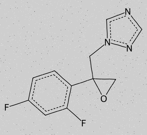 Fc1ccc(C2(Cn3cncn3)CO2)c(F)c1